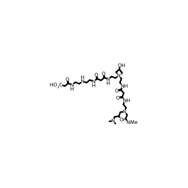 CNCCN(CCNC(=O)CC(=O)NCC[N+]1(CCNC(=O)CC(=O)NCCNCCNC(=O)CC(=O)O)CC(O)C1)CC(O)CN(C)C